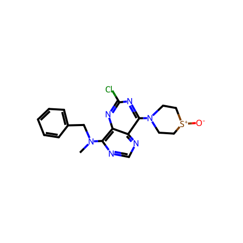 CN(Cc1ccccc1)c1ncnc2c(N3CC[S+]([O-])CC3)nc(Cl)nc12